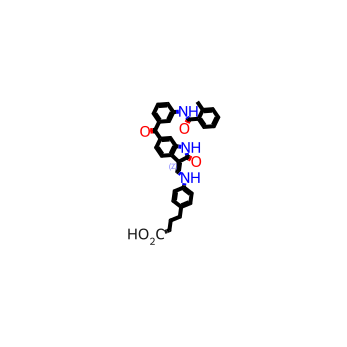 Cc1ccccc1C(=O)Nc1cccc(C(=O)c2ccc3c(c2)NC(=O)/C3=C\Nc2ccc(CCCC(=O)O)cc2)c1